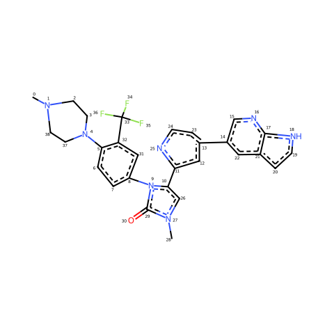 CN1CCN(c2ccc(-n3c(-c4cc(-c5cnc6[nH]ccc6c5)ccn4)cn(C)c3=O)cc2C(F)(F)F)CC1